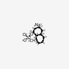 CS(=O)(=O)[O-].[Na+].c1ccc2ccccc2c1